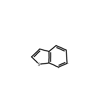 [c]1[c]c2sccc2cc1